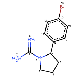 N=C(N)N1CCCC1c1ccc(Br)cc1